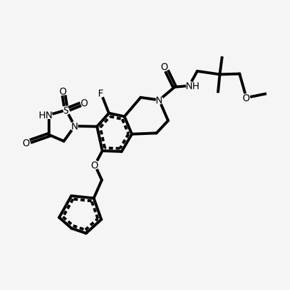 COCC(C)(C)CNC(=O)N1CCc2cc(OCc3ccccc3)c(N3CC(=O)NS3(=O)=O)c(F)c2C1